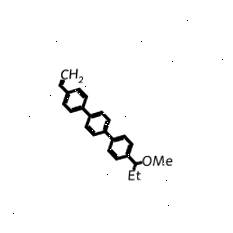 C=Cc1ccc(-c2ccc(-c3ccc(C(CC)OC)cc3)cc2)cc1